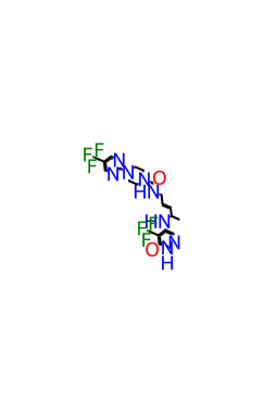 CC(/C=C/CNC(=O)N1CCN(c2ncc(C(F)(F)F)cn2)CC1)Nc1cn[nH]c(=O)c1C(F)(F)F